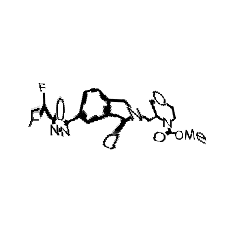 COC(=O)N1CCOC[C@@H]1CN1Cc2ccc(-c3nnc(C(F)F)o3)cc2C1=O